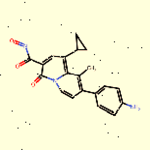 Cc1c(-c2ccc(N)cc2)ccn2c(=O)c(C(=O)N=O)cc(C3CC3)c12